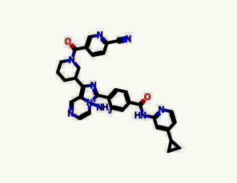 N#Cc1ccc(C(=O)N2CCCC(C3=C4C=NC=C[N+]4(N)C(c4ccc(C(=O)Nc5cc(C6CC6)ccn5)cc4)=N3)C2)cn1